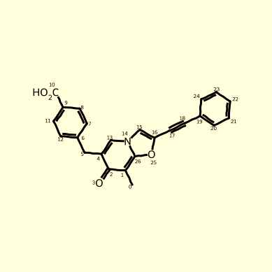 Cc1c(=O)c(Cc2ccc(C(=O)O)cc2)cn2cc(C#Cc3ccccc3)oc12